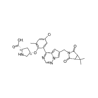 Cc1cc(Cl)cc(-c2ncnn3cc(CN4C(=O)C5C(C4=O)C5(C)C)cc23)c1O[C@@H]1CN[C@H](C(=O)O)C1